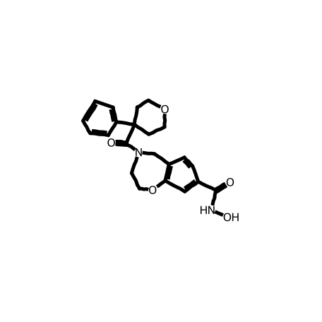 O=C(NO)c1ccc2c(c1)OCCN(C(=O)C1(c3ccccc3)CCOCC1)C2